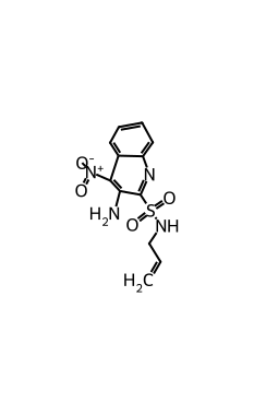 C=CCNS(=O)(=O)c1nc2ccccc2c([N+](=O)[O-])c1N